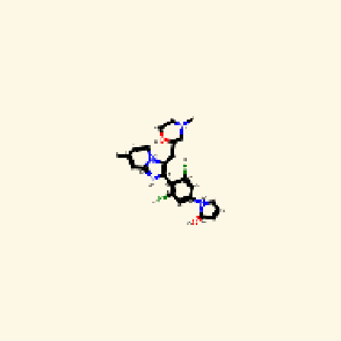 Cc1ccn2c(CC3CN(C)CCO3)c(-c3c(F)cc(N4CC=CC4=O)cc3F)nc2c1